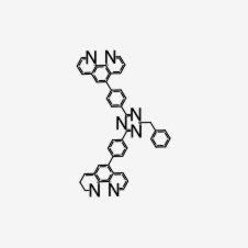 C1=c2cc(-c3ccc(-c4nc(Cc5ccccc5)nc(-c5ccc(-c6cc7cccnc7c7ncccc67)cc5)n4)cc3)c3cccnc3c2=NCC1